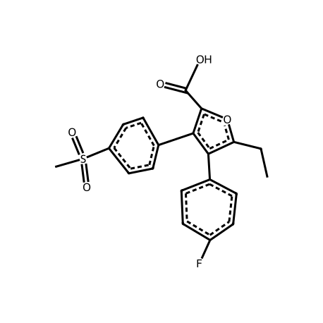 CCc1oc(C(=O)O)c(-c2ccc(S(C)(=O)=O)cc2)c1-c1ccc(F)cc1